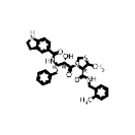 Cc1ccccc1CNC(=O)[C@@H]1C(C)SCN1C(=O)[C@@H](O)[C@H](Cc1ccccc1)NC(=O)c1ccc2c(c1)CCN2